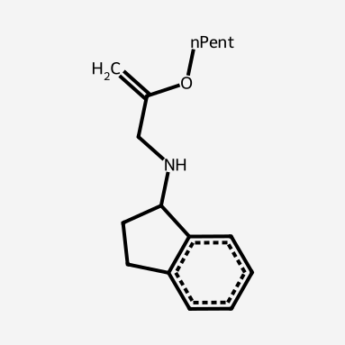 C=C(CNC1CCc2ccccc21)OCCCCC